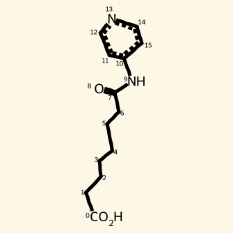 O=C(O)CCCCCCC(=O)Nc1ccncc1